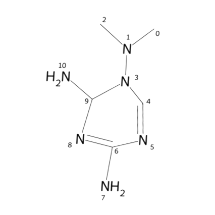 CN(C)N1C=NC(N)=NC1N